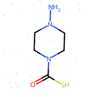 NN1CCN(C(=O)S)CC1